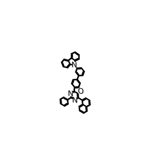 c1ccc(-c2nc(-c3cccc4ccccc34)c3oc4cc(-c5cccc(-n6c7ccccc7c7ccccc76)c5)ccc4c3n2)cc1